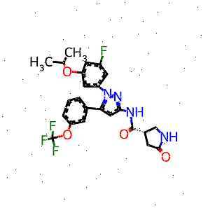 CC(C)Oc1cc(F)cc(-n2nc(NC(=O)[C@@H]3CNC(=O)C3)cc2-c2cccc(OC(F)(F)F)c2)c1